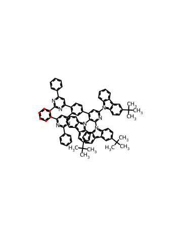 CC(C)(C)c1ccc2c(c1)c1ccccc1n2-c1cc(-c2ccc(-c3cc(-c4ccccc4)nc(-c4ccccc4)n3)c(-c3cc(-c4ccccc4)nc(-c4ccccc4)n3)c2)c(-n2c3ccccc3c3cc(C(C)(C)C)ccc32)c(-n2c3ccccc3c3cc(C(C)(C)C)ccc32)n1